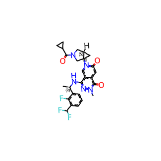 C[C@@H](Nc1nn(C)c(=O)c2cc(=O)n([C@]34C[C@H]3CN(C(=O)C3CC3)C4)cc12)c1cccc(C(F)F)c1F